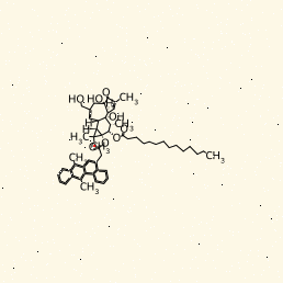 CCCCCCCCCCCCCC(=O)O[C@@H]1[C@@H](C)[C@@]2(O)[C@@H](C=C(CO)C[C@]3(O)C(=O)C(C)=C[C@@H]23)[C@H]2C(C)(C)[C@]12OC(=O)Cc1cc2c(C)c3ccccc3c(C)c2c2ccccc12